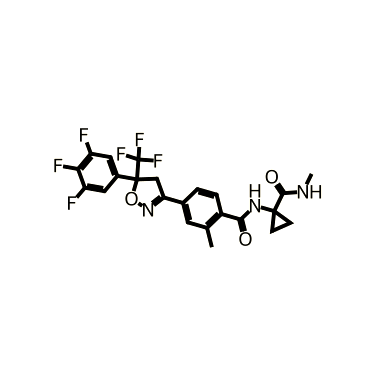 CNC(=O)C1(NC(=O)c2ccc(C3=NOC(c4cc(F)c(F)c(F)c4)(C(F)(F)F)C3)cc2C)CC1